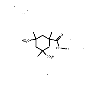 CCNC(=O)C1(C)CC(C)(C(=O)O)CC(C)(C(=O)O)C1